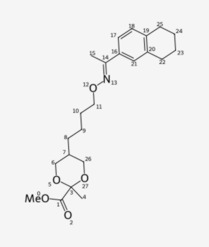 COC(=O)C1(C)OCC(CCCCON=C(C)c2ccc3c(c2)CCCC3)CO1